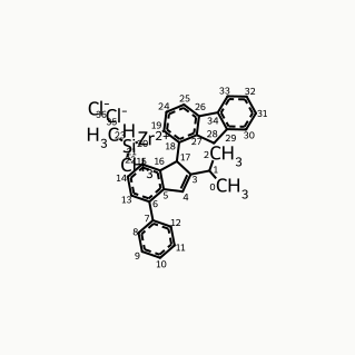 CC(C)C1=Cc2c(-c3ccccc3)cccc2C1c1[c]([Zr+2][SiH](C)C)ccc2c1Cc1ccccc1-2.[Cl-].[Cl-]